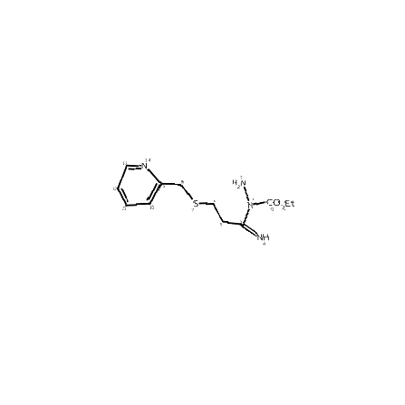 CCOC(=O)N(N)C(=N)CCSCc1ccccn1